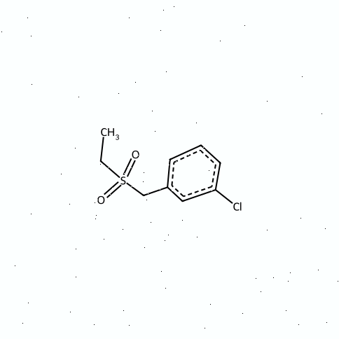 CCS(=O)(=O)Cc1cccc(Cl)c1